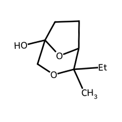 CCC1(C)OCC2(O)CCC1O2